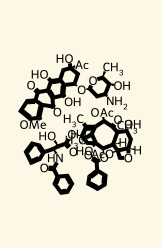 CC(=O)O[C@H]1C(=O)[C@@]2(C)[C@H]([C@H](OC(=O)c3ccccc3)[C@]3(O)C[C@H](OC(=O)[C@H](O)[C@@H](NC(=O)c4ccccc4)c4ccccc4)C(C)=C1C3(C)C)[C@]1(OC(C)=O)CO[C@@H]1C[C@@H]2O.COc1cccc2c1C(=O)c1c(O)c3c(c(O)c1C2=O)C[C@@](O)(C(C)=O)C[C@@H]3O[C@H]1C[C@H](N)[C@H](O)[C@H](C)O1